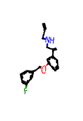 C#CCNCC(=C)c1cccc(OCc2cccc(F)c2)c1